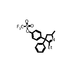 CCC1=NC(C)CC1(c1ccccc1)c1ccc(OS(=O)(=O)C(F)(F)F)cc1